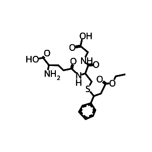 CCOC(=O)CC(SCC(NC(=O)CCC(N)C(=O)O)C(=O)NCC(=O)O)c1ccccc1